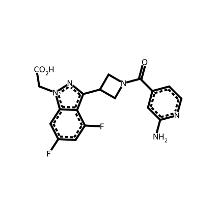 Nc1cc(C(=O)N2CC(c3nn(CC(=O)O)c4cc(F)cc(F)c34)C2)ccn1